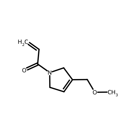 C=CC(=O)N1CC=C(COC)C1